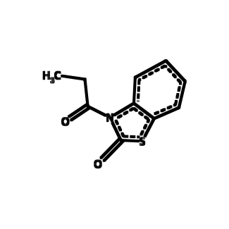 CCC(=O)n1c(=O)sc2ccccc21